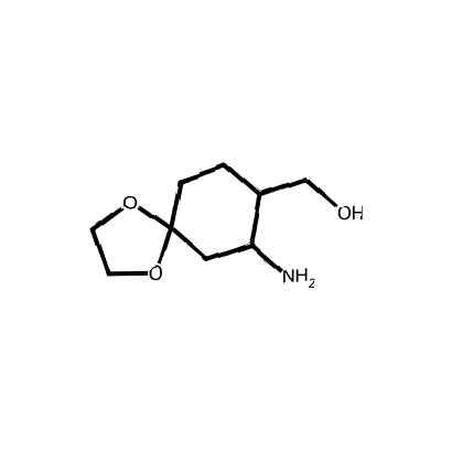 NC1CC2(CCC1CO)OCCO2